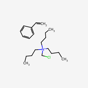 C=Cc1ccccc1.CCCC[N+](CCl)(CCCC)CCCC